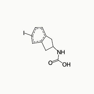 O=C(O)NC1Cc2ccc(I)cc2C1